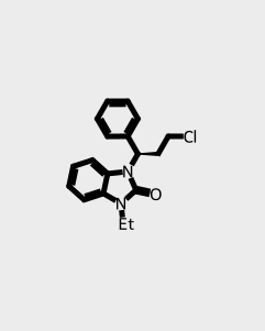 CCn1c(=O)n([C@H](CCCl)c2ccccc2)c2ccccc21